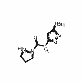 CC(C)(C)c1cc(NC(=O)N2CCCN2)on1